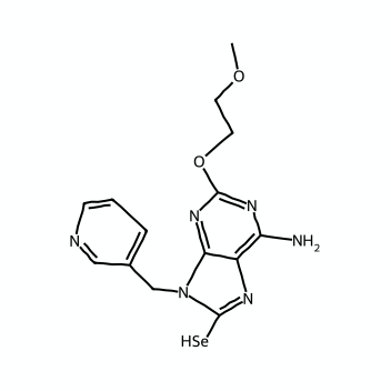 COCCOc1nc(N)c2nc([SeH])n(Cc3cccnc3)c2n1